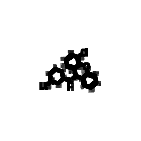 CCN1CCCC(NC2c3ccccc3Oc3c(Cl)cccc32)C1